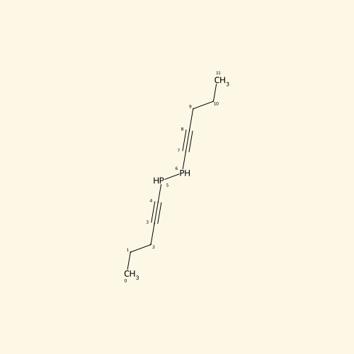 CCCC#CPPC#CCCC